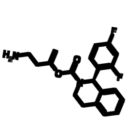 C=C(CCN)OC(=O)N1CCc2ccccc2[C@@H]1c1ccc(F)cc1F